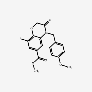 COC(=O)c1cc(F)c2c(c1)N(Cc1ccc(OC)cc1)C(=O)CO2